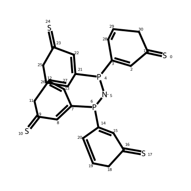 S=C1C=C(P([N]P(C2=CC(=S)CC=C2)C2=CC(=S)CC=C2)C2=CC(=S)CC=C2)C=CC1